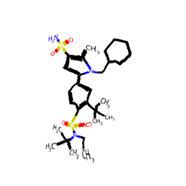 CCN(C(C)(C)C)S(=O)(=O)c1ccc(-c2cc(S(N)(=O)=O)c(C)n2CC2CCCCC2)cc1C(C)(C)C